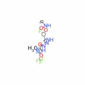 Cn1nc(OCC(F)(F)F)cc1C(=O)Nc1cc([C@H]2C[C@@H](F)[C@@H](OC(=O)NC34CC(C3)C4)C2)[nH]n1